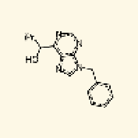 CC(C)C(O)c1ncnc2c1ncn2Cc1ccccc1